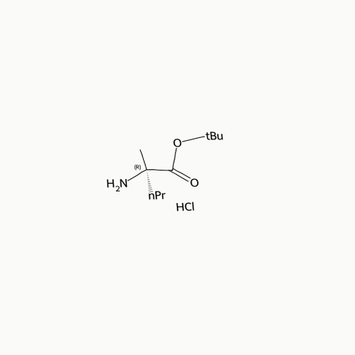 CCC[C@@](C)(N)C(=O)OC(C)(C)C.Cl